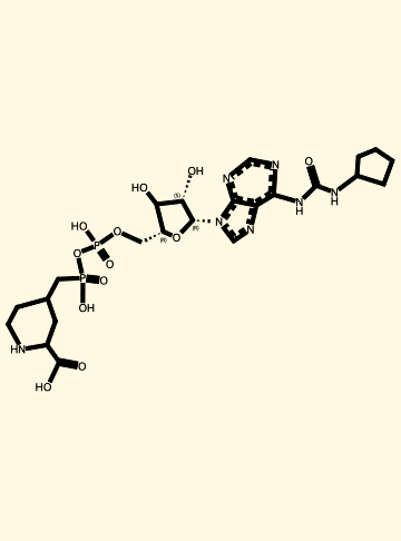 O=C(Nc1ncnc2c1ncn2[C@@H]1O[C@H](COP(=O)(O)OP(=O)(O)CC2CCNC(C(=O)O)C2)C(O)[C@@H]1O)NC1CCCC1